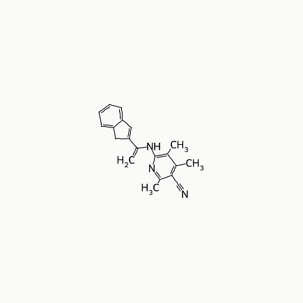 C=C(Nc1nc(C)c(C#N)c(C)c1C)C1=Cc2ccccc2C1